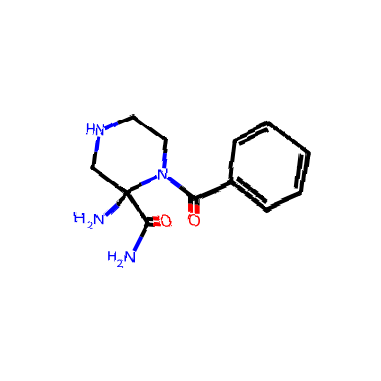 NC(=O)C1(N)CNCCN1C(=O)c1ccccc1